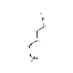 [CH]CCCCCCCCCC[CH2]